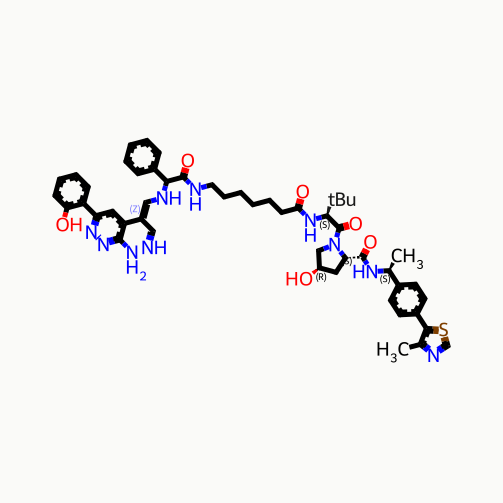 Cc1ncsc1-c1ccc([C@H](C)NC(=O)[C@@H]2C[C@@H](O)CN2C(=O)[C@@H](NC(=O)CCCCCCNC(=O)C(N/C=C(\C=N)c2cc(-c3ccccc3O)nnc2N)c2ccccc2)C(C)(C)C)cc1